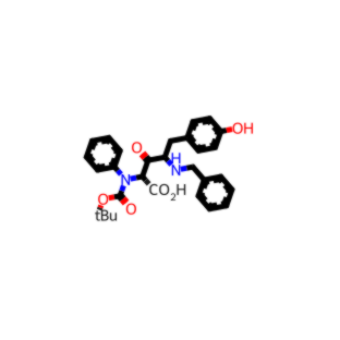 CC(C)(C)OC(=O)N(c1ccccc1)C(C(=O)O)C(=O)C(Cc1ccc(O)cc1)NCc1ccccc1